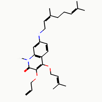 C=CCOc1c(OCC=C(C)C)c2ccc(NCC=C(C)CCC=C(C)C)cc2n(CCCC)c1=O